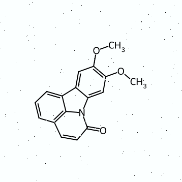 COc1cc2c3cccc4ccc(=O)n(c2cc1OC)c43